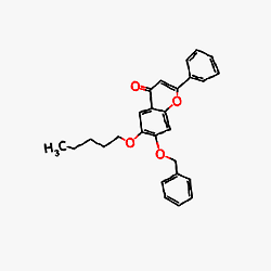 CCCCCOc1cc2c(=O)cc(-c3ccccc3)oc2cc1OCc1ccccc1